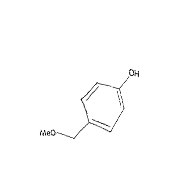 [CH2]OCc1ccc(O)cc1